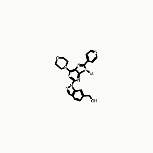 CCn1c(-c2ccncc2)nc2c(N3CCOCC3)nc(-n3ncc4ccc(CO)cc43)nc21